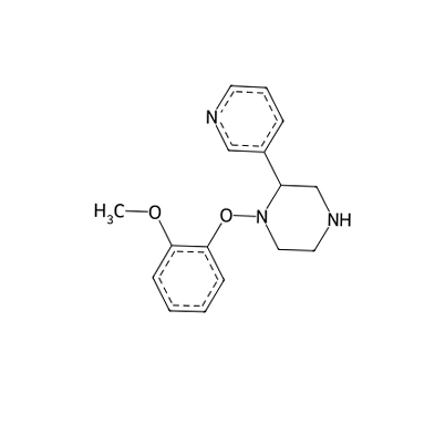 COc1ccccc1ON1CCNCC1c1cccnc1